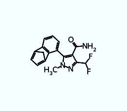 Cn1nc(C(F)F)c(C(N)=O)c1-c1cccc2c1C1=CC=C2C1